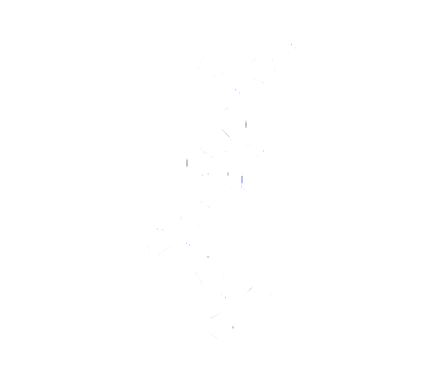 N#Cc1ccc2c(c1)c1ccccc1n2-c1ccc2c(c1)Oc1ccc(-c3ccc4c(c3)c3ccccc3n4-c3ccc(-n4c5ccccc5c5ccccc54)cc3)cc1C21c2cccnc2-c2ncccc21